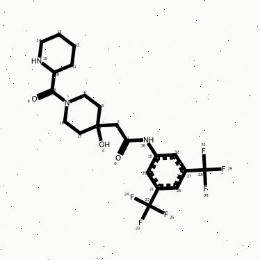 O=C(CC1(O)CCN(C(=O)C2CCCCN2)CC1)Nc1cc(C(F)(F)F)cc(C(F)(F)F)c1